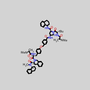 CN[C@@H](C)C(=O)N[C@@H](Cc1ccc(OCc2ccc(C(=O)N[C@H]3C[C@@H](C(=O)N[C@@H]4CCCc5ccccc54)N(C(=O)[C@@H](NC(=O)[C@H](C)NC)C(C)(C)C)C3)cc2)cc1)C(=O)N1Cc2ccccc2C[C@H]1C(=O)N(C)[C@@H]1CCCc2ccccc21